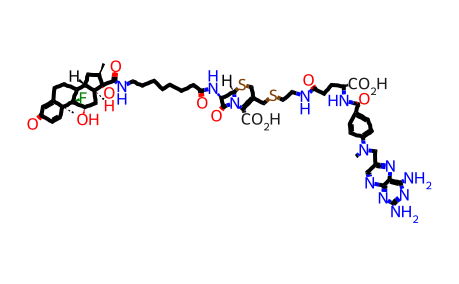 C[C@@H]1C[C@H]2C3CCC4=CC(=O)C=C[C@]4(C)[C@@]3(F)[C@@H](O)C[C@]2(C)[C@@]1(O)C(=O)NCCCCCCCC(=O)N[C@@H]1C(=O)N2C(C(=O)O)=C(CSCCNC(=O)CC[C@H](NC(=O)c3ccc(N(C)Cc4cnc5nc(N)nc(N)c5n4)cc3)C(=O)O)CS[C@H]12